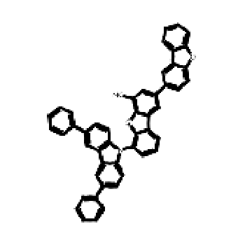 N#Cc1cc(-c2ccc3oc4ccccc4c3c2)cc2c1sc1c(-n3c4ccc(-c5ccccc5)cc4c4cc(-c5ccccc5)ccc43)cccc12